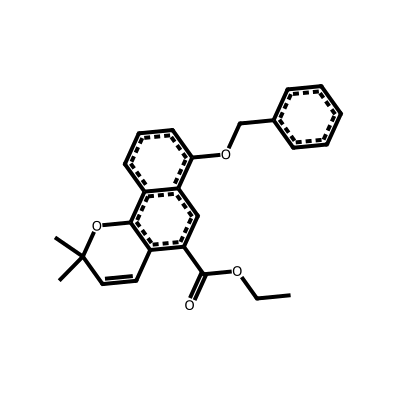 CCOC(=O)c1cc2c(OCc3ccccc3)cccc2c2c1C=CC(C)(C)O2